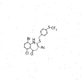 CC(=O)C1=C(SCc2ccc(SC(F)(F)F)cc2)Nc2c(Br)ccc(Cl)c2C(=O)C1